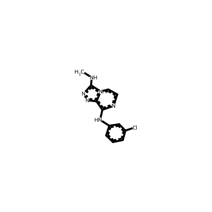 CNc1nnc2c(Nc3cccc(Cl)c3)nccn12